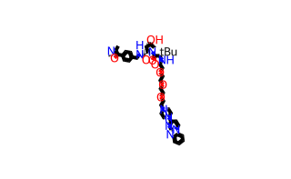 Cc1ncoc1-c1ccc(CNC(=O)[C@@H]2C[C@@H](O)CN2C(=O)C(NC(=O)COCCOCCOCCN2CCN(c3ccn4c(n3)nc3ccccc34)CC2)C(C)(C)C)cc1